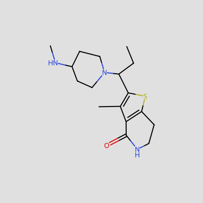 CCC(c1sc2c(c1C)C(=O)NCC2)N1CCC(NC)CC1